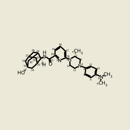 C[C@@H]1CN(c2ccc(N(C)C)cc2)CCN1c1cccc(C(=O)N[C@H]2C3CC4CC2C[C@](O)(C4)C3)n1